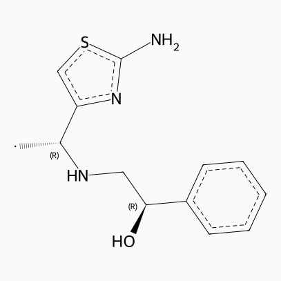 [CH2][C@@H](NC[C@H](O)c1ccccc1)c1csc(N)n1